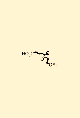 CC(=O)OCCS(=O)(=O)CCCC(=O)O